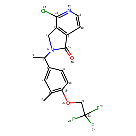 Cc1cc(C(C)N2Cc3c(ccnc3Cl)C2=O)ccc1OCC(F)(F)F